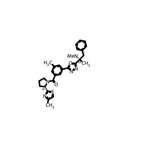 CN[C@@](C)(Cc1ccccc1)c1nnc(-c2cc(C)cc(C(=O)N3CCC[C@@H]3c3nc(C)cs3)c2)o1